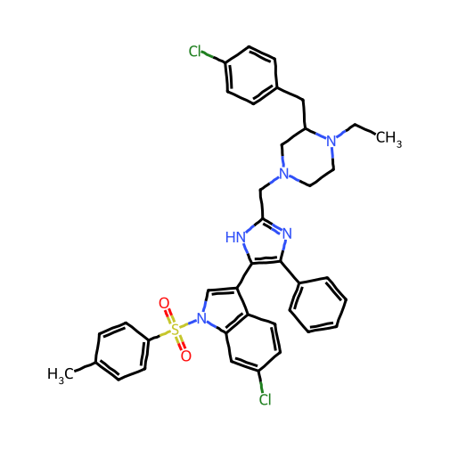 CCN1CCN(Cc2nc(-c3ccccc3)c(-c3cn(S(=O)(=O)c4ccc(C)cc4)c4cc(Cl)ccc34)[nH]2)CC1Cc1ccc(Cl)cc1